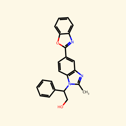 Cc1nc2cc(-c3nc4ccccc4o3)ccc2n1C(CO)c1ccccc1